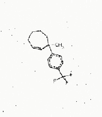 C[C@]1(c2ccc(C(F)(F)F)cc2)C=CCCCC1